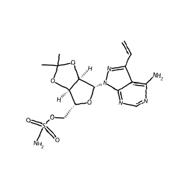 C=Cc1nn([C@@H]2O[C@H](COS(N)(=O)=O)[C@H]3OC(C)(C)O[C@H]32)c2ncnc(N)c12